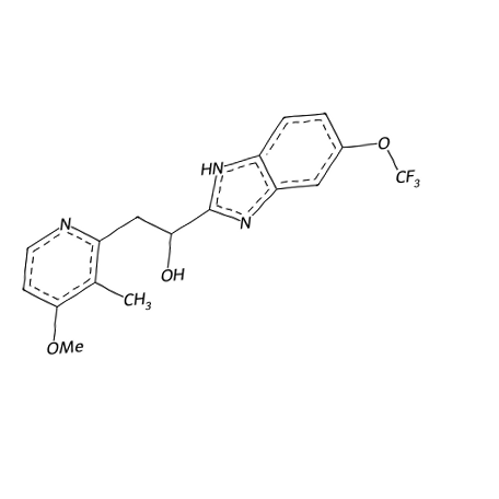 COc1ccnc(CC(O)c2nc3cc(OC(F)(F)F)ccc3[nH]2)c1C